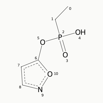 CCP(=O)(O)Oc1ccno1